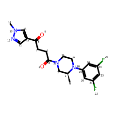 C[C@H]1CN(C(=O)CCC(=O)c2cnn(C)c2)CCN1c1cc(F)cc(F)c1